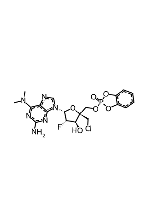 CN(C)c1nc(N)nc2c1ncn2[C@@H]1O[C@](CCl)(COP2(=O)Oc3ccccc3O2)[C@@H](O)[C@@H]1F